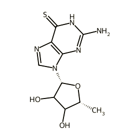 C[C@H]1O[C@@H](n2cnc3c(=S)[nH]c(N)nc32)C(O)C1O